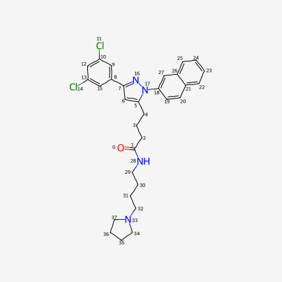 O=C(CCCc1cc(-c2cc(Cl)cc(Cl)c2)nn1-c1ccc2ccccc2c1)NCCCCN1CCCC1